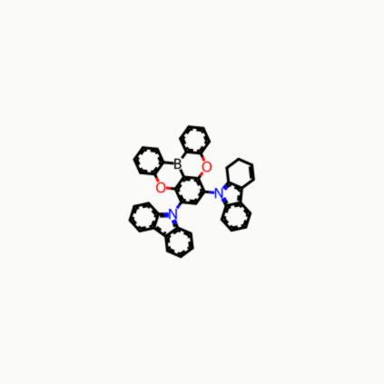 C1=Cc2c(n(-c3cc(-n4c5ccccc5c5ccccc54)c4c5c3Oc3ccccc3B5c3ccccc3O4)c3ccccc23)CC1